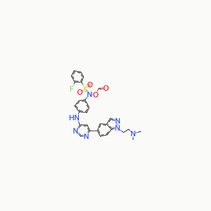 CN(C)CCn1ncc2cc(-c3cc(Nc4ccc(N(OC=O)S(=O)(=O)c5ccccc5F)cc4)ncn3)ccc21